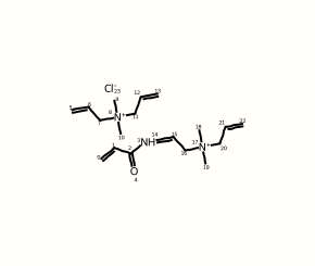 C=CC([NH-])=O.C=CC[N+](C)(C)CC=C.C=CC[N+](C)(C)CC=C.[Cl-]